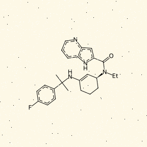 CCN(C(=O)c1cc2ncccc2[nH]1)[C@@H]1C=C(NC(C)(C)c2ccc(F)cc2)CCC1